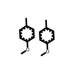 COc1ccc(C)cc1.COc1ccc(C)cc1